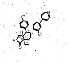 CC[C@@]12CC[C@@H](c3ccc(-c4ccncc4)cc3Cl)[C@H](c3ccc(Cl)cc3)[C@@H]1[C@@H](C)NC2=O